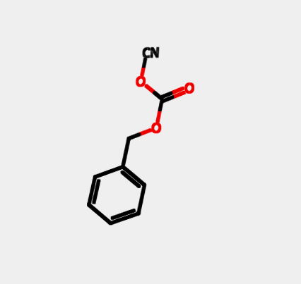 N#COC(=O)OCc1ccccc1